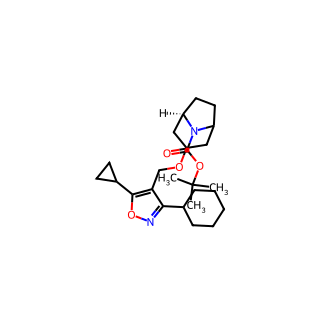 CC(C)(C)OC(=O)N1C2CC[C@@H]1CC(OCc1c(C3CCCCC3)noc1C1CC1)C2